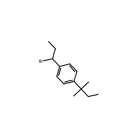 CCC(Br)c1ccc(C(C)(C)CC)cc1